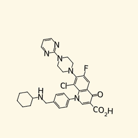 O=C(O)c1cn(-c2ccc(CNC3CCCCC3)cc2)c2c(Cl)c(N3CCN(c4ncccn4)CC3)c(F)cc2c1=O